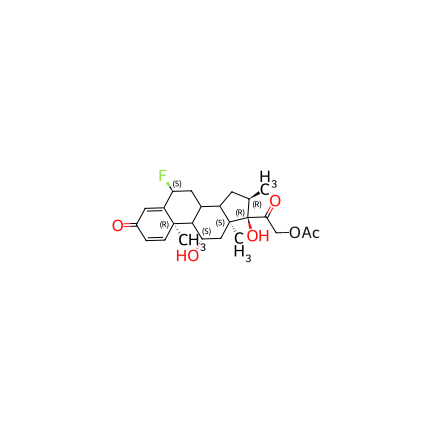 CC(=O)OCC(=O)[C@@]1(O)[C@H](C)CC2C3C[C@H](F)C4=CC(=O)C=C[C@]4(C)C3[C@@H](O)C[C@@]21C